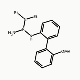 CCN(CC)P(N)Nc1ccccc1-c1ccccc1OC